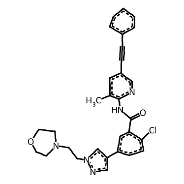 Cc1cc(C#Cc2ccccc2)cnc1NC(=O)c1cc(-c2cnn(CCN3CCOCC3)c2)ccc1Cl